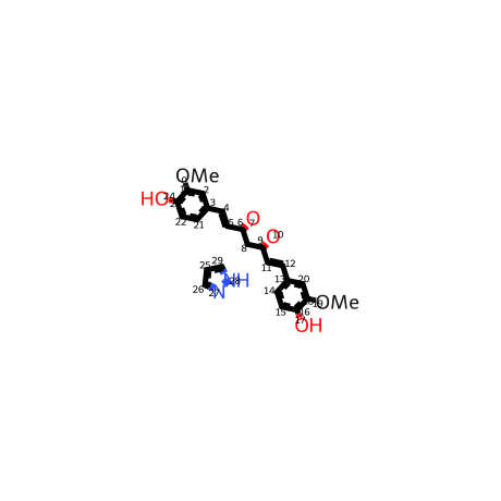 COc1cc(/C=C/C(=O)CC(=O)/C=C/c2ccc(O)c(OC)c2)ccc1O.c1cn[nH]c1